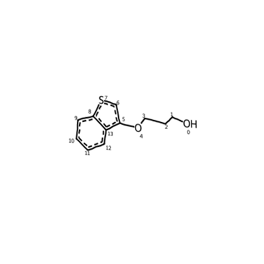 OCCCOc1csc2ccccc12